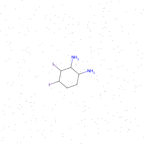 NC1CCC(I)C(I)C1N